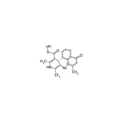 [C-]#[N+]C1=C(C(F)(F)F)NC(C)=C(C(=O)OCCC)[C@@H]1c1cccc2c(=O)cc(C)oc12